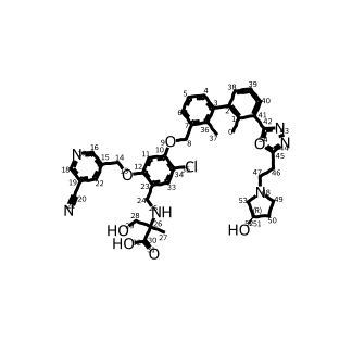 CC1=C(c2cccc(COc3cc(OCc4cncc(C#N)c4)c(CNC(C)(CO)C(=O)O)cc3Cl)c2C)C=C=C=C1c1nnc(CCN2CC[C@@H](O)C2)o1